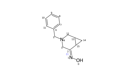 O/N=C1/CN(Cc2ccccc2)CC2CC12